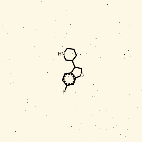 Fc1ccc2c(c1)OCC2C1CCCNC1